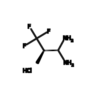 C[C@H](C(N)N)C(F)(F)F.Cl